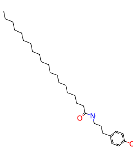 CCCCCCCCCCCCCCCCCCCC(=O)[N]CCCc1ccc(O)cc1